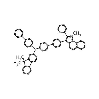 Cn1c(-c2ccccc2)c(-c2ccc(-c3ccc(N(c4ccc(-c5ccccc5)cc4)c4ccc5c(c4)C(C)(C)c4ccccc4-5)cc3)cc2)c2ccc3ccccc3c21